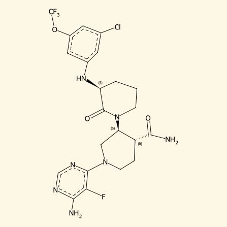 NC(=O)[C@@H]1CCN(c2ncnc(N)c2F)C[C@H]1N1CCC[C@H](Nc2cc(Cl)cc(OC(F)(F)F)c2)C1=O